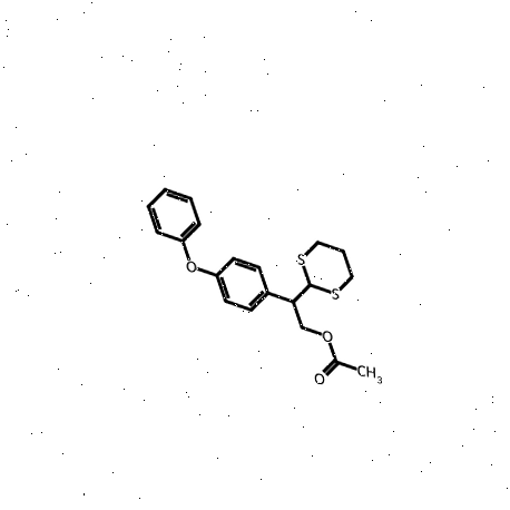 CC(=O)OCC(c1ccc(Oc2ccccc2)cc1)C1SCCCS1